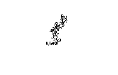 COC(=O)c1ccc(CN2[C@H](C)CN(C(=O)c3cccc(-c4ccnc(F)c4)c3)C[C@@H]2C)cc1